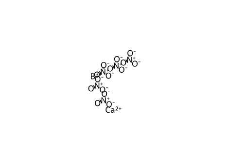 O=[N+]([O-])[O-].O=[N+]([O-])[O-].O=[N+]([O-])[O-].O=[N+]([O-])[O-].O=[N+]([O-])[O-].[B+3].[Ca+2]